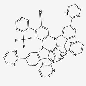 N#Cc1cc(-n2c3cc(-c4ncccn4)ccc3c3ccc(-c4ncccn4)cc32)c(-n2c3cc(-c4ncccn4)ccc3c3ccc(-c4ncccn4)cc32)cc1-c1ccccc1C(F)(F)F